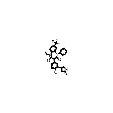 CCN1C(=O)C(c2ccc(O)c(-c3cnn(C)c3)c2)C(=O)N(c2ccccc2)c2cc(C(F)(F)F)ccc21